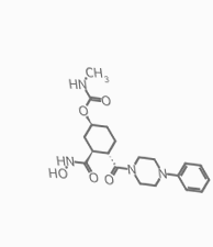 CNC(=O)O[C@H]1CC[C@H](C(=O)N2CCN(c3ccccc3)CC2)[C@@H](C(=O)NO)C1